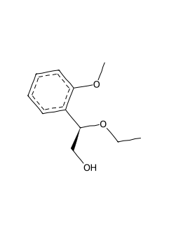 CCO[C@@H](CO)c1ccccc1OC